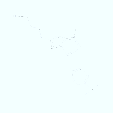 O=C(NCCO)c1cc2c(Oc3ccc(C(F)(F)F)cc3)cnc(Cl)c2s1